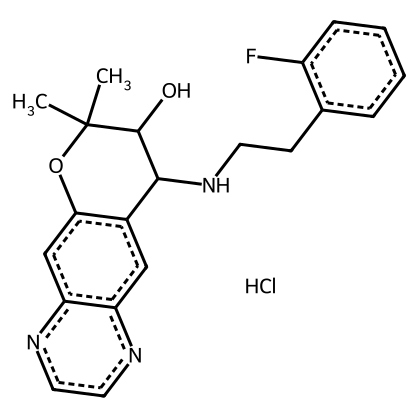 CC1(C)Oc2cc3nccnc3cc2C(NCCc2ccccc2F)C1O.Cl